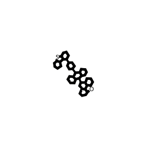 c1cc2cc(-c3c4ccccc4c(-c4ccc(-c5cccc6sc7ccccc7c56)cc4)c4ccccc34)c3cccc4oc(c1)c2c43